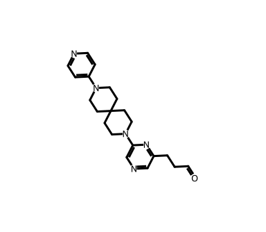 O=CCCc1cncc(N2CCC3(CCN(c4ccncc4)CC3)CC2)n1